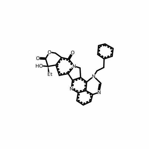 CC[C@@]1(O)C(=O)OCc2c1cc1n(c2=O)Cc2c-1nc1cccc3c1c2N(CCc1ccccc1)C=N3